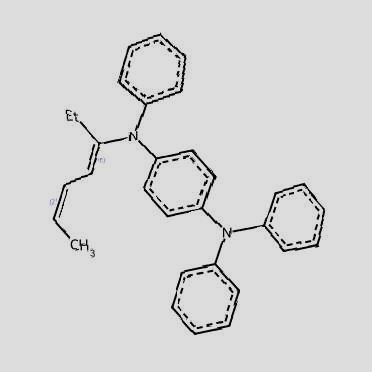 C/C=C\C=C(/CC)N(c1ccccc1)c1ccc(N(c2ccccc2)c2ccccc2)cc1